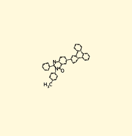 Cc1ccc(-n2c(-c3ccccc3)nc3ccc(-c4ccc5c6ccccc6c6ccccc6c5c4)cc3c2=O)cc1